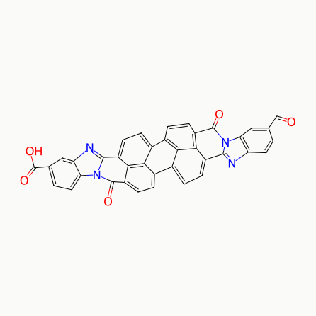 O=Cc1ccc2nc3c4ccc5c6ccc7c(=O)n8c9ccc(C(=O)O)cc9nc8c8ccc(c9ccc(c(=O)n3c2c1)c4c95)c6c78